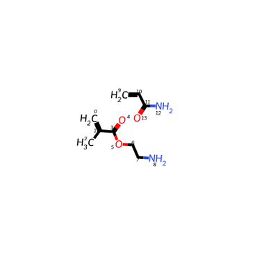 C=C(C)C(=O)OCCN.C=CC(N)=O